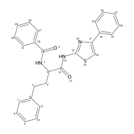 O=C(NC(CCc1ccccc1)C(=O)Nc1nc(-c2ccccc2)cs1)c1ccccc1